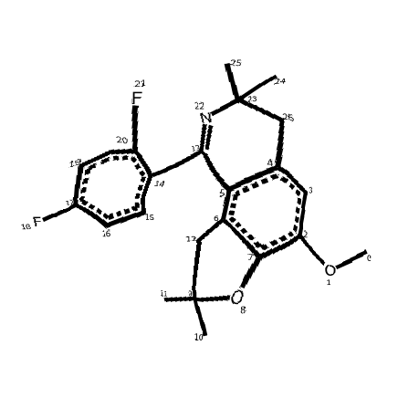 COc1cc2c(c3c1OC(C)(C)C3)C(c1ccc(F)cc1F)=NC(C)(C)C2